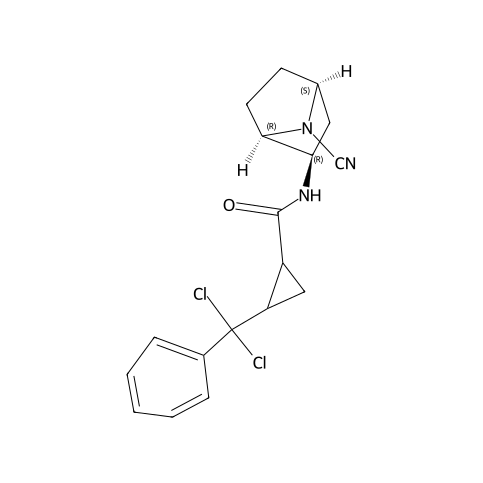 N#CN1[C@H]2CC[C@@H]1[C@H](NC(=O)C1CC1C(Cl)(Cl)c1ccccc1)C2